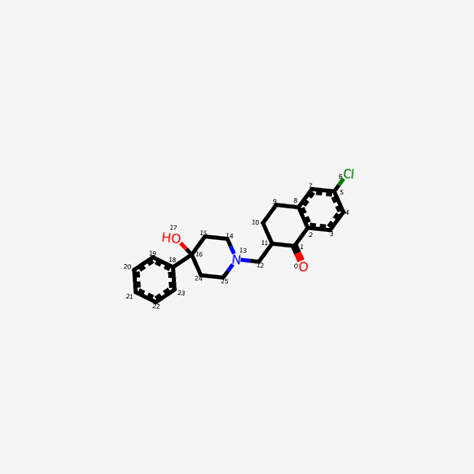 O=C1c2ccc(Cl)cc2CCC1CN1CCC(O)(c2ccccc2)CC1